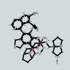 CO[C@H](C)CN1CC2CCC(C1)N2c1nc(OC[C@@]23CCCN2C[C@H](F)C3)nc2c(F)c(-c3nccc4sc(N)c(C#N)c34)c3c(c12)COC3